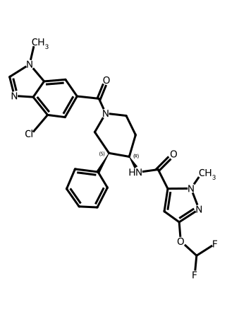 Cn1nc(OC(F)F)cc1C(=O)N[C@@H]1CCN(C(=O)c2cc(Cl)c3ncn(C)c3c2)C[C@@H]1c1ccccc1